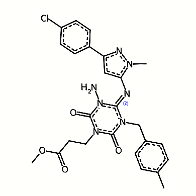 COC(=O)CCn1c(=O)n(N)/c(=N\c2cc(-c3ccc(Cl)cc3)nn2C)n(Cc2ccc(C)cc2)c1=O